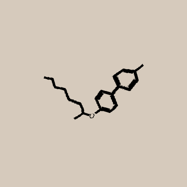 CCCCCCC(C)Oc1ccc(-c2ccc(C)cc2)cc1